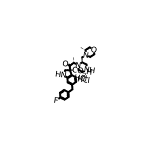 C[C@@H]1CN([C@@H](C)C(=O)[C@@]2(C(=O)O)CNc3cc(Cc4ccc(F)cc4)ccc32)[C@@H](CN2CCOC[C@H]2C)CN1.Cl.Cl